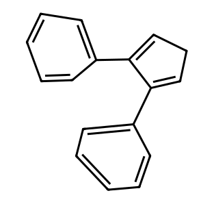 C1=C(c2ccccc2)C(c2ccccc2)=CC1